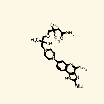 CCCCc1nc2c(N)nc3cc(N4CCN(CC(C)(C)COCC(C)(C)CC(N)=O)CC4)ccc3c2[nH]1